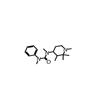 CC1C(N(C)C(=O)N(C)c2ccccc2)CCN(C)C1(C)C